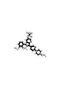 [2H]C([2H])([2H])Oc1cnc2c(-c3ccc(N4CCN(C)CC4)nc3)nn(-c3cccc(C)c3C)c2c1